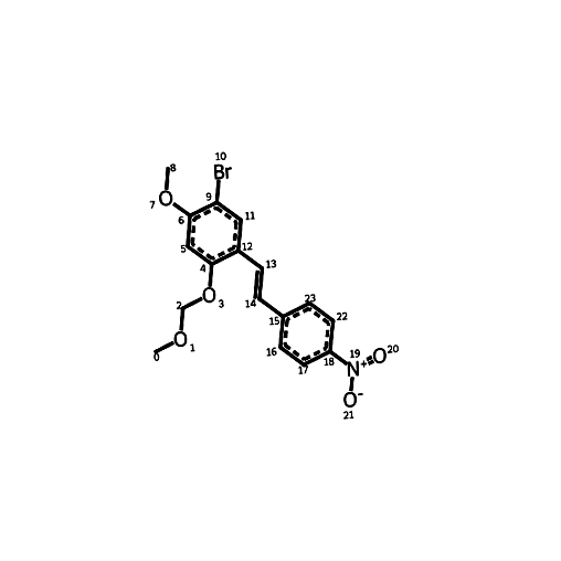 COCOc1cc(OC)c(Br)cc1/C=C/c1ccc([N+](=O)[O-])cc1